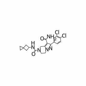 NC(=O)c1c(-c2ccc(Cl)c(Cl)c2)nn2c1CN(C(=O)NC1CC3(CC3)C1)CC2